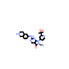 CC(C)n1c(=O)c2cnc(Nc3ccc4c(c3)CCNC4)nc2n1-c1ccnc(C(C)(C)O)c1